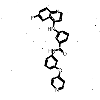 O=C(Nc1cccc(Oc2ccncc2)c1)c1cccc(Nc2ccnc3ccc(F)cc23)c1